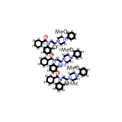 COc1ccccc1N1CCN(CCN(C(=O)C2CCCCC2)c2ccccc2C(F)(F)F)CC1.COc1ccccc1N1CCN(CCN(C(=O)C2CCCCC2)c2ccccc2N)CC1.COc1ccccc1N1CCN(CCN(C(=O)C2CCCCC2)c2ccccc2NC(C)=O)CC1